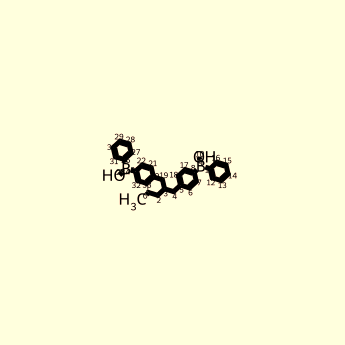 CCCC(Cc1ccc(B(O)c2ccccc2)cc1)Cc1ccc(B(O)c2ccccc2)cc1